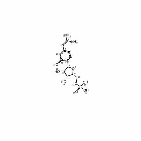 NC(N)=Nc1ccn([C@@H]2O[C@H](COP(=O)(O)O)[C@H](O)[C@@H]2O)c(=O)n1